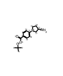 CC(C)(C)OOC(=O)c1ccc(N2CCC(N)C2)cc1